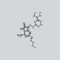 CCCCOc1nc(N)c2[nH]c(=O)n(CCC3CCCN(C(CC)CC)C3)c2n1